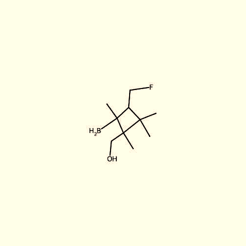 BC1(C)C(CF)C(C)(C)C1(C)CO